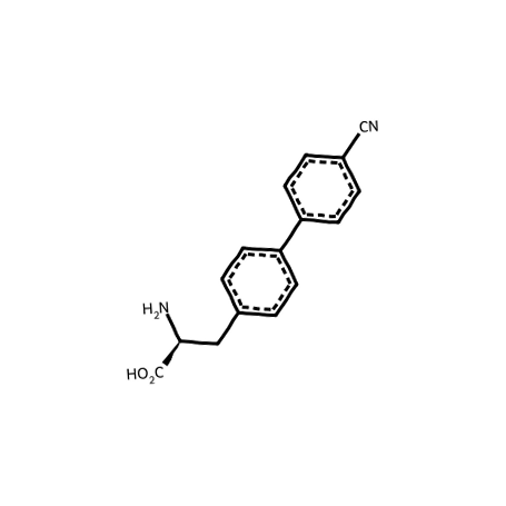 N#Cc1ccc(-c2ccc(C[C@H](N)C(=O)O)cc2)cc1